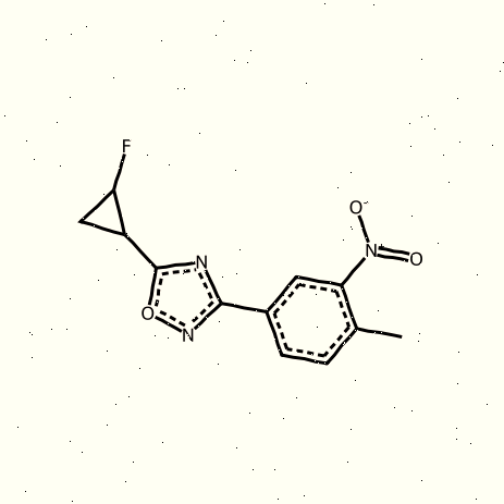 Cc1ccc(-c2noc(C3CC3F)n2)cc1[N+](=O)[O-]